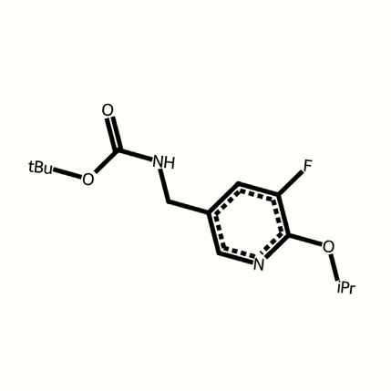 CC(C)Oc1ncc(CNC(=O)OC(C)(C)C)cc1F